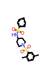 Cc1ccc(C)c(S(=O)(=O)N2CCC(NS(=O)(=O)c3ccccc3)CC2)c1